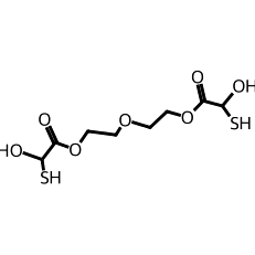 O=C(OCCOCCOC(=O)C(O)S)C(O)S